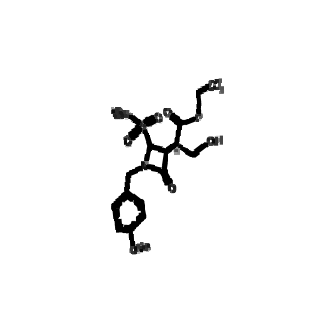 COc1ccc(CN2C(=O)C([C@H](CO)C(=O)OCC(Cl)(Cl)Cl)C2S(=O)(=O)C(C)(C)C)cc1